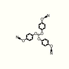 N#COc1ccc(OP(Oc2ccc(OC#N)cc2)Oc2ccc(OC#N)cc2)cc1